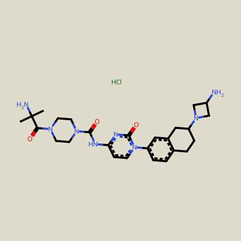 CC(C)(N)C(=O)N1CCN(C(=O)Nc2ccn(-c3ccc4c(c3)CC(N3CC(N)C3)CC4)c(=O)n2)CC1.Cl